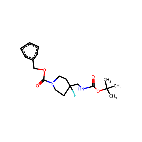 CC(C)(C)OC(=O)NCC1(F)CCN(C(=O)OCc2ccccc2)CC1